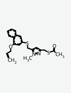 C=CCOc1cc(SCc2cc(CSC(C)=O)nn2C)cc2ccccc12